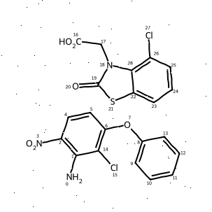 Nc1c([N+](=O)[O-])ccc(Oc2ccccc2)c1Cl.O=C(O)Cn1c(=O)sc2cccc(Cl)c21